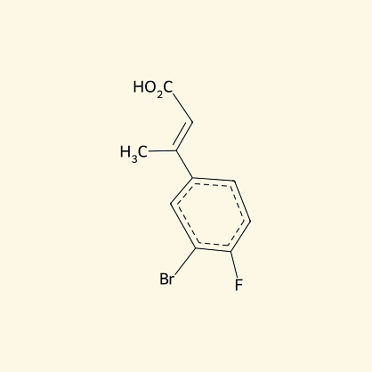 C/C(=C\C(=O)O)c1ccc(F)c(Br)c1